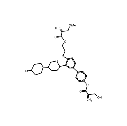 C=C(COC)C(=O)OCCOc1ccc(-c2ccc(OC(=O)C(=C)CO)cc2)cc1C1OCC(C2CCC(CC)CC2)CO1